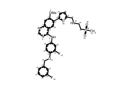 COc1cc2ncnc(Nc3ccc(OCc4cccc(F)c4)c(F)c3)c2cc1-c1ccc(CNCCS(C)(=O)=O)o1